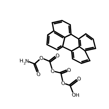 NC(=O)OC(=O)OC(=O)OC(=O)O.c1cc2cccc3c4cccc5cccc(c(c1)c23)c54